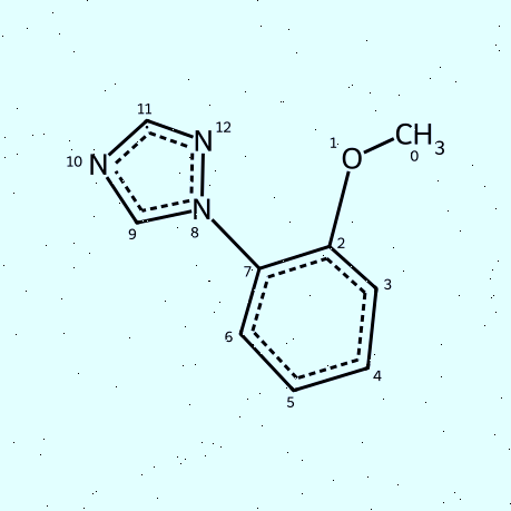 COc1ccccc1-n1cn[c]n1